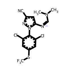 CN(C)/C=N\c1cc(C#N)nn1-c1c(Cl)cc(SC(F)(F)F)cc1Cl